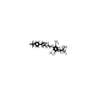 Cc1cc(OC(C)(C)C(=O)O)c(C)cc1OCCSc1nc(-c2ccc(C(F)(F)F)cc2)c[nH]1